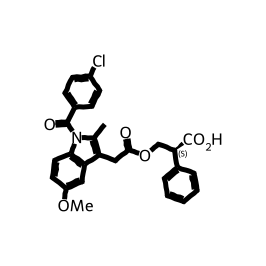 COc1ccc2c(c1)c(CC(=O)OC[C@@H](C(=O)O)c1ccccc1)c(C)n2C(=O)c1ccc(Cl)cc1